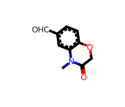 CN1C(=O)COc2ccc(C=O)cc21